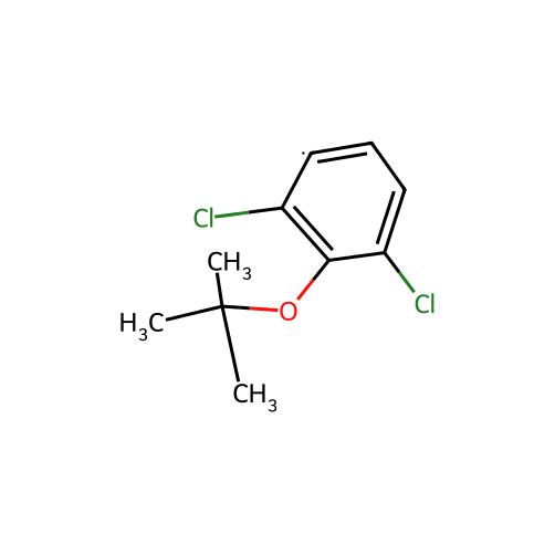 CC(C)(C)Oc1c(Cl)[c]ccc1Cl